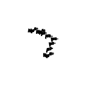 [Np+5].[Np+5].[Np+5].[P-3].[P-3].[P-3].[P-3].[P-3]